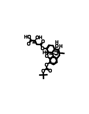 CN1CC[C@]23c4c5ccc(OC(=O)OC(C)(C)C)c4O[C@H]2C(OC(=O)C[C@@H](O)C(=O)O)=CC[C@@]3(O)[C@H]1C5